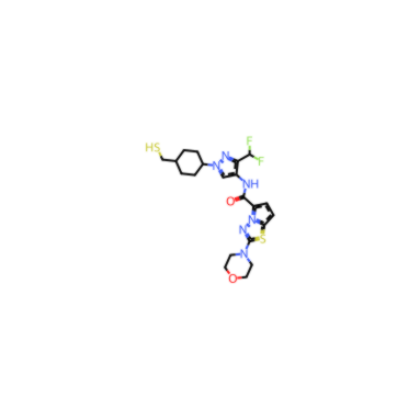 O=C(Nc1cn(C2CCC(CS)CC2)nc1C(F)F)c1ccc2sc(N3CCOCC3)nn12